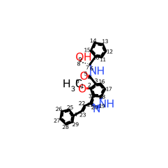 COc1c(C(=O)N[C@H](CO)c2ccccc2)ccc2[nH]nc(/C=C/c3ccccc3)c12